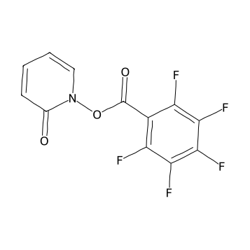 O=C(On1ccccc1=O)c1c(F)c(F)c(F)c(F)c1F